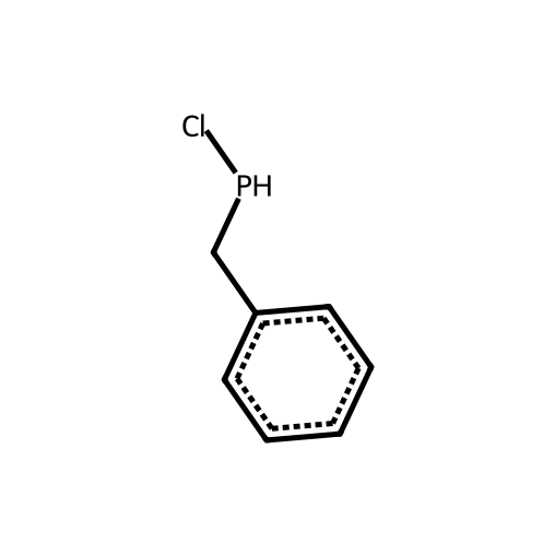 ClPCc1ccccc1